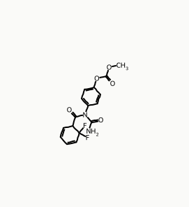 COC(=O)Oc1ccc(N(C(N)=O)C(=O)C2C=CC=CC2(F)F)cc1